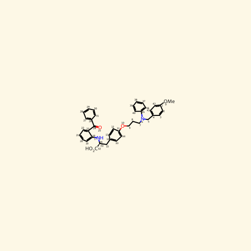 COc1ccc(CN(CCCOc2ccc(C[C@H](Nc3ccccc3C(=O)c3ccccc3)C(=O)O)cc2)c2ccccc2)cc1